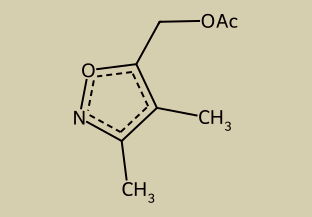 CC(=O)OCc1onc(C)c1C